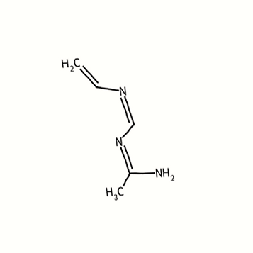 C=C/N=C\N=C(\C)N